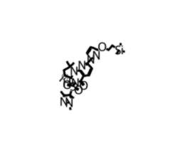 Cc1nn(C)cc1S(=O)(=O)NC(=O)c1ccc(-n2ccc(OCC[Si](C)(C)C)n2)nc1N1C[C@@H](C)CC1(C)C